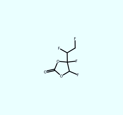 O=C1OC(F)C(F)(C(F)CF)O1